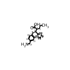 CCCC(C(=O)O)[C@H](Cc1ccc(CN)cc1)c1nnn[nH]1